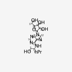 CCC[C@@H](CO)Nc1ncnc2c1ncn2C1OC(CO)C(O)C1O